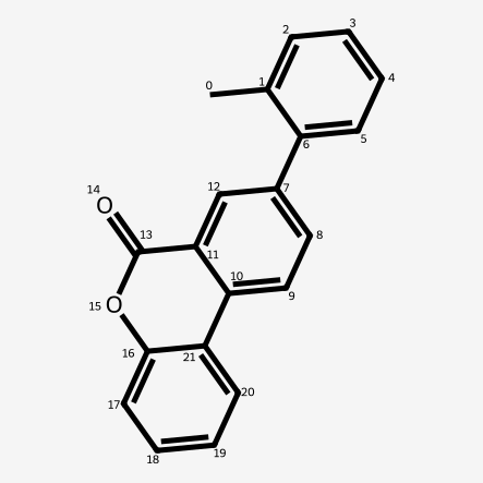 Cc1ccccc1-c1ccc2c(c1)c(=O)oc1ccccc12